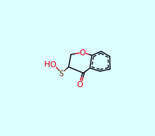 O=C1c2ccccc2OCC1SO